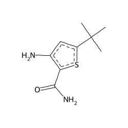 CC(C)(C)c1cc(N)c(C(N)=O)s1